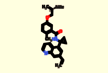 C=Cc1cc(C2(NC(=O)c3cc(OC[C@H](C)NC)ccc3C)CC2)c2cccnc2c1